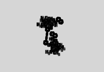 CN[C@@H](C)C(=O)N[C@H](C(=O)N1C[C@@H](Oc2cccc(C#CC#Cc3cccc(O[C@H]4C[C@@H](C(=O)N[C@@H]5CCCc6ccccc65)N(C(=O)[C@@H](NC(=O)[C@H](C)NC)C(C)(C)C)C4)c3)c2)C[C@H]1C(=O)N[C@@H]1CCCc2ccccc21)C(C)(C)C